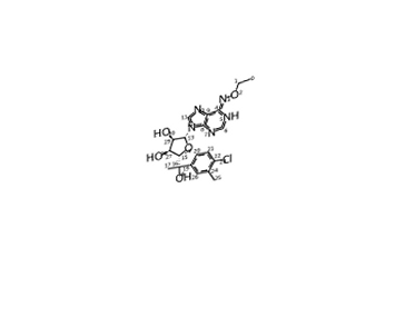 CCO/N=c1\[nH]cnc2c1ncn2[C@@H]1O[C@H](C(C)(O)c2ccc(Cl)c(C)c2)[C@@H](O)[C@H]1O